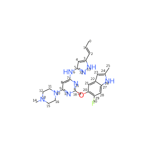 C/C=C/c1cc(Nc2cc(N3CCN(C)CC3)nc(Oc3cc4cc(C)[nH]c4cc3F)n2)n[nH]1